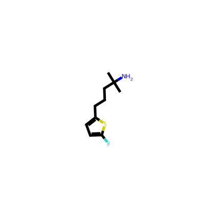 CC(C)(N)CCCc1ccc(F)s1